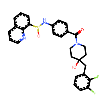 O=C(c1ccc(N[S+]([O-])c2cccc3cccnc23)cc1)N1CCC(O)(Cc2cccc(F)c2F)CC1